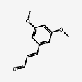 COc1cc(C=CC=O)cc(OC)c1